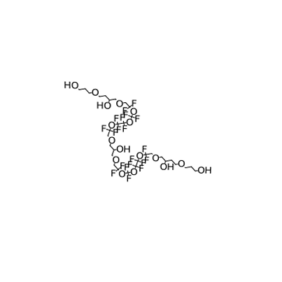 OCCCOCCC(O)COCC(F)(F)OC(F)(F)OC(F)(F)C(F)(F)OC(F)(F)COCC(O)COCC(F)(F)OC(F)(F)OC(F)(F)C(F)(F)OC(F)(F)COCC(O)CCOCCCO